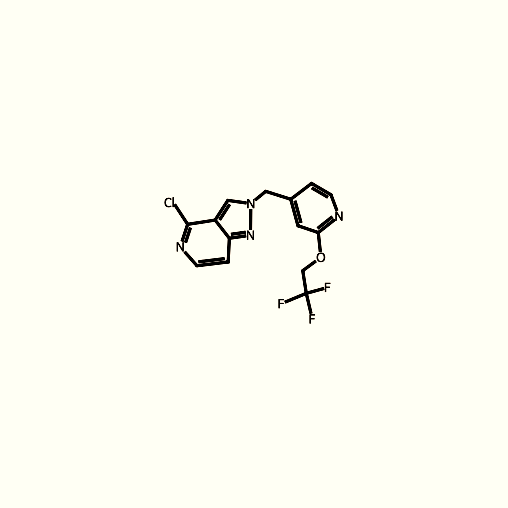 FC(F)(F)COc1cc(Cn2cc3c(Cl)nccc3n2)ccn1